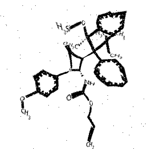 C=CCOC(=O)N[C@H]1[C@H](C(c2ccccc2)(C(C)(C)C)[C@@](C)(O[SiH3])c2ccccc2)C(=O)N1c1ccc(OC)cc1